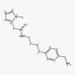 BCc1ccc(SSCCNC(=O)Cc2cnnn2C)cc1